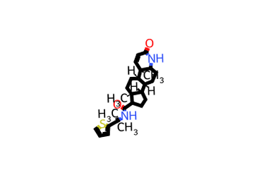 CC(C)(NC(=O)C1CC[C@H]2[C@@H]3CCC4NC(=O)C=C[C@]4(C)[C@@H]3CC[C@]12C)c1cccs1